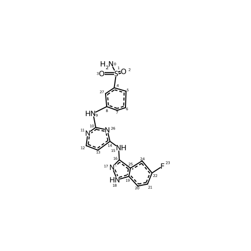 NS(=O)(=O)c1cccc(Nc2nccc(Nc3n[nH]c4ccc(F)cc34)n2)c1